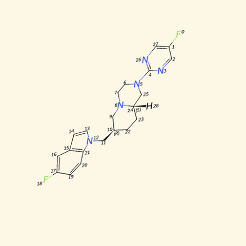 Fc1cnc(N2CCN3C[C@H](Cn4ccc5cc(F)ccc54)CC[C@H]3C2)nc1